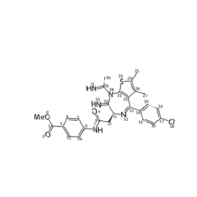 COC(=O)c1ccc(NC(=O)C[C@@H]2N=C(c3ccc(Cl)cc3)c3c(sc(C)c3C)N(C(C)=N)C2=N)cc1